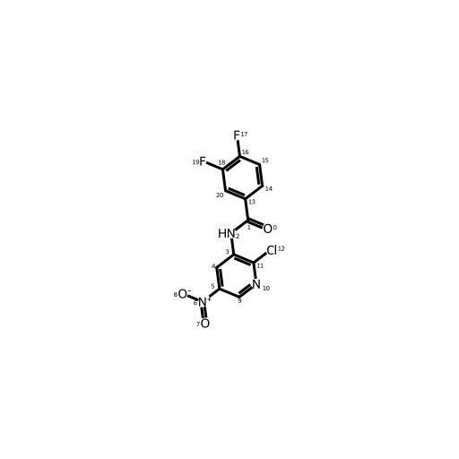 O=C(Nc1cc([N+](=O)[O-])cnc1Cl)c1ccc(F)c(F)c1